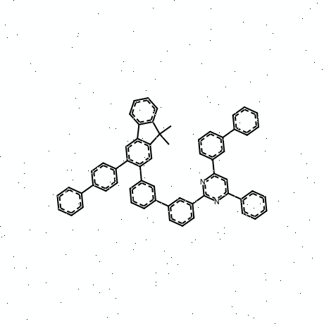 CC1(C)c2ccccc2-c2cc(-c3ccc(-c4ccccc4)cc3)c(-c3cccc(-c4cccc(-c5nc(-c6ccccc6)cc(-c6cccc(-c7ccccc7)c6)n5)c4)c3)cc21